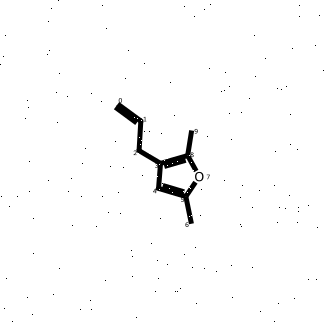 C=CCc1cc(C)oc1C